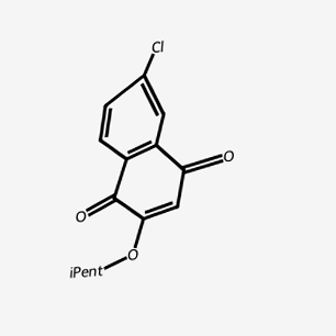 CCCC(C)OC1=CC(=O)c2cc(Cl)ccc2C1=O